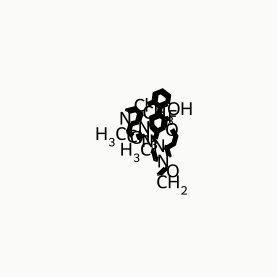 C=CC(=O)N1CC(C)N2c3nc(=O)n(-c4c(C)ccnc4C(C)C)c4cc(-c5c(O)cccc5Cl)c(F)c(c34)OCCC2C1